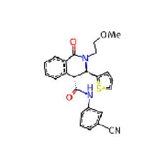 COCCN1C(=O)c2ccccc2[C@@H](C(=O)Nc2cccc(C#N)c2)[C@@H]1c1cccs1